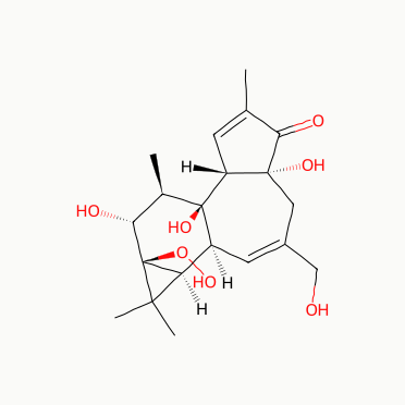 CC1=C[C@H]2[C@@]3(O)[C@H](C)[C@@H](O)[C@]4(OO)[C@@H]([C@@H]3C=C(CO)C[C@]2(O)C1=O)C4(C)C